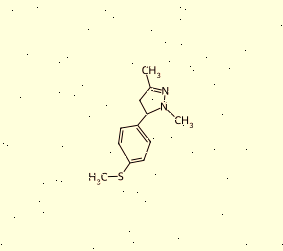 CSc1ccc(C2CC(C)=NN2C)cc1